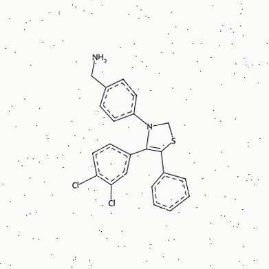 NCc1ccc(N2CSC(c3ccccc3)=C2c2ccc(Cl)c(Cl)c2)cc1